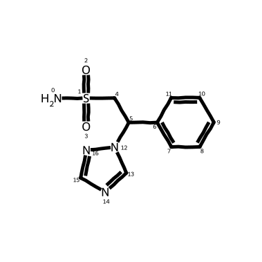 NS(=O)(=O)CC(c1ccccc1)n1cncn1